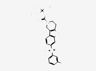 CC(C)(C)OC(=O)N1CCc2oc3cc(S(=O)(=O)c4cccc(Cl)c4)ccc3c2C1